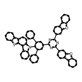 c1ccc(-c2cc(-c3nc(-c4ccc5c(c4)oc4ccccc45)nc(-c4ccc5c(c4)oc4ccccc45)n3)cc(-c3ccccc3)c2-n2c3ccccc3c3c4sc5ccccc5c4ccc32)cc1